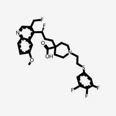 COc1ccc2ncc(CF)c([C@@H](F)CCC3(C(=O)O)CCN(CCSc4cc(F)c(F)c(F)c4)CC3)c2c1